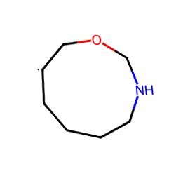 [CH]1CCCCNCOC1